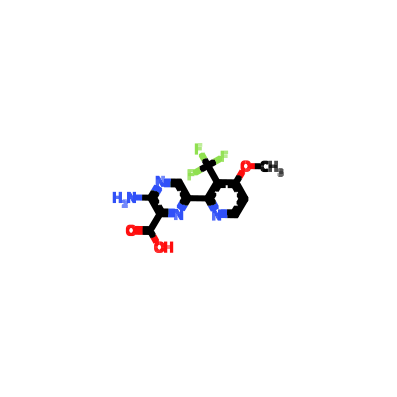 COc1ccnc(-c2cnc(N)c(C(=O)O)n2)c1C(F)(F)F